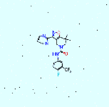 CC1(C)CN(C(=O)Nc2ccc(F)c(C(F)(F)F)c2)Cc2c(-c3ncccn3)noc21